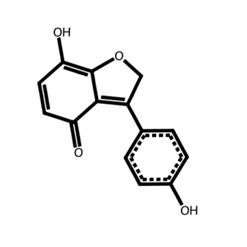 O=C1C=CC(O)=C2OCC(c3ccc(O)cc3)=C12